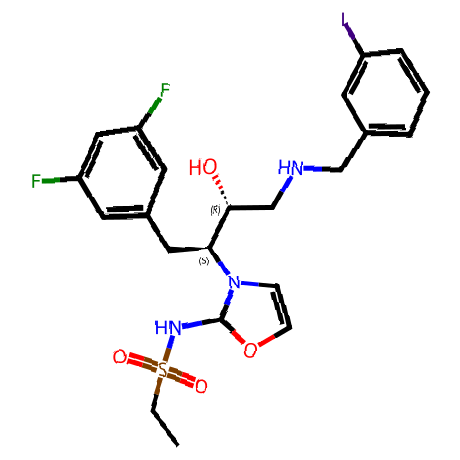 CCS(=O)(=O)NC1OC=CN1[C@@H](Cc1cc(F)cc(F)c1)[C@H](O)CNCc1cccc(I)c1